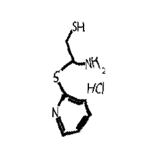 Cl.NC(CS)Sc1ccccn1